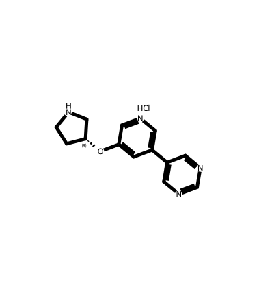 Cl.c1ncc(-c2cncc(O[C@@H]3CCNC3)c2)cn1